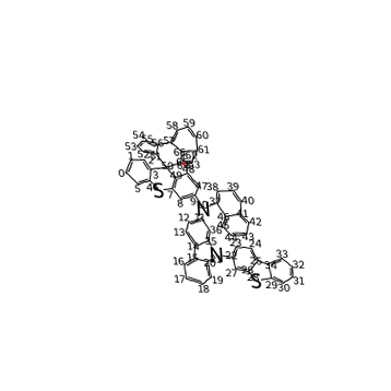 c1ccc2c(c1)Sc1cc(N(c3ccc4c5ccccc5n(-c5ccc6c(c5)sc5ccccc56)c4c3)c3cccc4ccccc34)ccc1C21c2ccccc2-c2cccc3cccc1c23